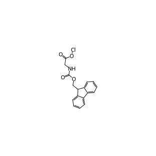 O=C(CNC(=O)OCC1c2ccccc2-c2ccccc21)OCl